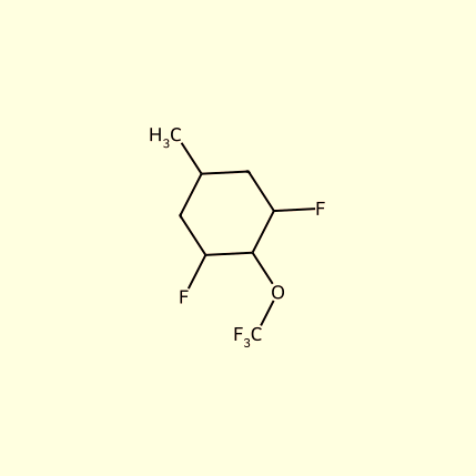 CC1CC(F)C(OC(F)(F)F)C(F)C1